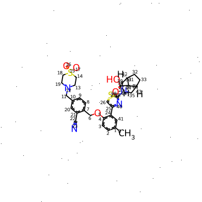 Cc1ccc(OCc2ccc(CN3CCS(=O)(=O)CC3)cc2C#N)c(-c2csc(N3C[C@H]4CC[C@@H](C3)[C@H]4C(=O)O)n2)c1